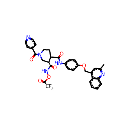 Cc1cc(COc2ccc(NC(=O)C3CCN(C(=O)c4ccncc4)C[C@@H]3C(=O)NOC(=O)C(F)(F)F)cc2)c2ccccc2n1